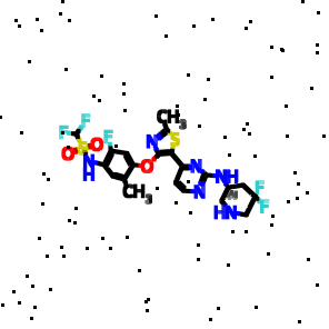 Cc1nc(Oc2cc(F)c(NS(=O)(=O)C(F)F)cc2C)c(-c2ccnc(N[C@@H]3CNCC(F)(F)C3)n2)s1